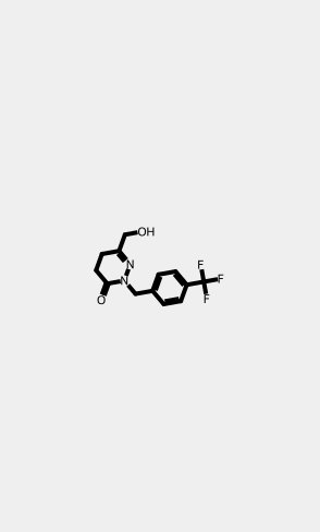 O=C1CCC(CO)=NN1Cc1ccc(C(F)(F)F)cc1